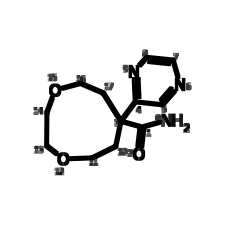 NC(=O)C1(c2cnccn2)CCOCCOCC1